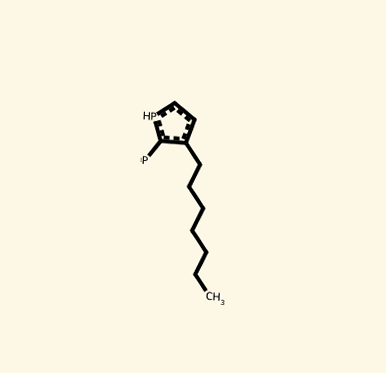 CCCCCCCc1cc[pH]c1[P]